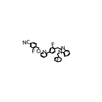 N#Cc1ccc(COc2cccc(-c3ccc(Cc4nc5ccccc5n4CC45CCC(CC4)O5)c(F)c3)n2)c(F)c1